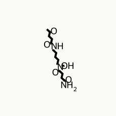 CC(=O)CCC(=O)NCCCCCN(O)C(=O)CCC(N)=O